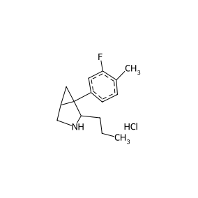 CCCC1NCC2CC21c1ccc(C)c(F)c1.Cl